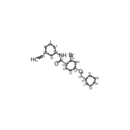 C#Cc1cccc(NC(=O)c2ccc(OCc3ccccc3)cc2Br)c1